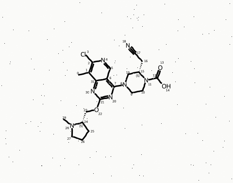 Cc1c(Cl)ncc2c(N3CCN(C(=O)O)[C@@H](CC#N)C3)nc(OC[C@@H]3CCCN3C)nc12